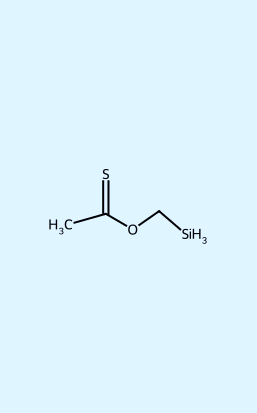 CC(=S)OC[SiH3]